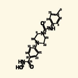 Cc1ccc(NC(=O)N2CCN(c3ccc(C(=O)NO)cc3)CC2)cc1